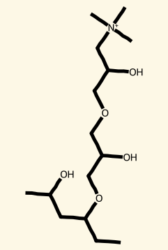 CCC(CC(C)O)OCC(O)COCC(O)C[N+](C)(C)C